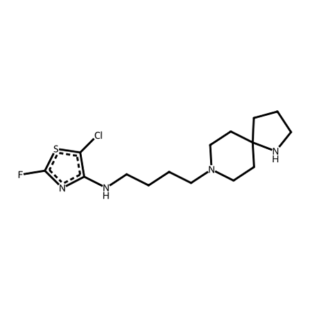 Fc1nc(NCCCCN2CCC3(CCCN3)CC2)c(Cl)s1